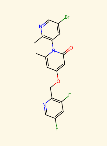 Cc1ncc(Br)cc1-n1c(C)cc(OCc2ncc(F)cc2F)cc1=O